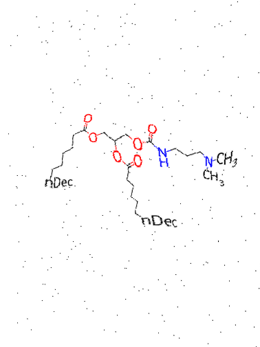 CCCCCCCCCCCCCCCC(=O)OCC(COC(=O)NCCCN(C)C)OC(=O)CCCCCCCCCCCCCCC